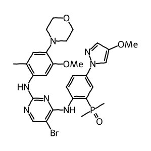 COc1cnn(-c2ccc(Nc3nc(Nc4cc(OC)c(N5CCOCC5)cc4C)ncc3Br)c(P(C)(C)=O)c2)c1